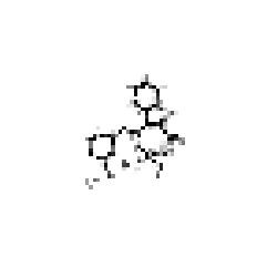 COc1cccc(CN2CC(C)(C)NC(=O)c3sc4ccccc4c32)c1